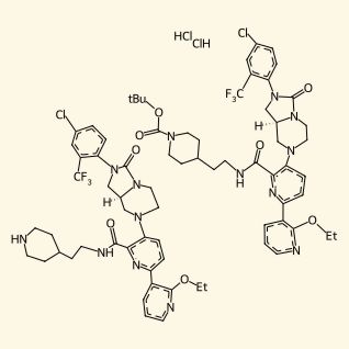 CCOc1ncccc1-c1ccc(N2CCN3C(=O)N(c4ccc(Cl)cc4C(F)(F)F)C[C@@H]3C2)c(C(=O)NCCC2CCN(C(=O)OC(C)(C)C)CC2)n1.CCOc1ncccc1-c1ccc(N2CCN3C(=O)N(c4ccc(Cl)cc4C(F)(F)F)C[C@@H]3C2)c(C(=O)NCCC2CCNCC2)n1.Cl.Cl